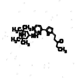 CCC(=O)CCc1ccc(-c2ccnc(NC3CC(C)(C)NC(C)(C)C3)n2)s1